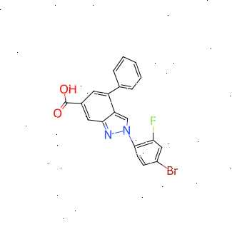 O=C(O)c1cc(-c2ccccc2)c2cn(-c3ccc(Br)cc3F)nc2c1